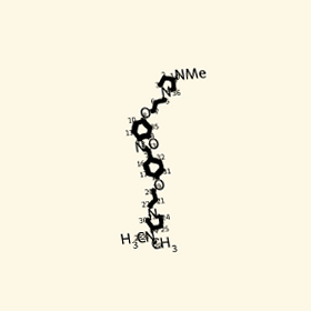 CN[C@@H]1CCN(CCCOc2ccc3nc(-c4ccc(OCCCN5CC[C@@H](N(C)C)C5)cc4)oc3c2)C1